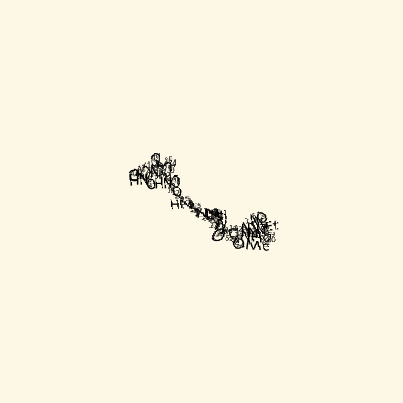 CC[C@@H]1C(=O)N(C)c2cnc(Nc3ccc(C(=O)NCc4cn(CCNCCOCC(=O)Nc5cccc6c5CN(C5CCC(=O)NC5=O)C6=O)nn4)cc3OC)nc2N1C1CCCC1